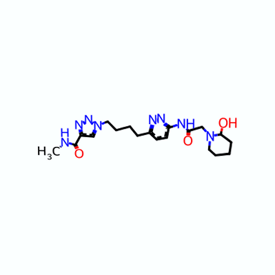 CNC(=O)c1cn(CCCCc2ccc(NC(=O)CN3CCCCC3O)nn2)nn1